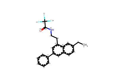 CCc1ccc2cc(-c3ccccc3)cc(CCNC(=O)C(F)(F)F)c2c1